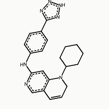 C1=Cc2cnc(Nc3ccc(-c4nn[nH]n4)cc3)cc2N(C2CCCCC2)C1